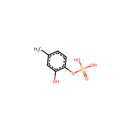 Cc1ccc(OP(=O)(O)O)c(O)c1